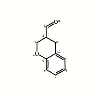 O=CC1COc2ccccc2C1